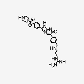 N=C(N)NCCCNCc1ccc(-c2cn3cc(-c4ccc(S(=O)(=O)N5CCNCC5)cc4)[nH]c3nc2=O)cc1